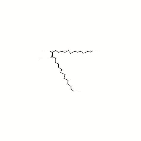 CCCCCCCCCCCCCCCCCCCCCCC(C(=O)O)=C(CCCCCCCCCCCCCCCCCCCCCC)C(=O)O